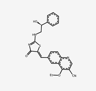 CCOc1c(C#N)cnc2ccc(/C=C3\SC(NC[C@@H](O)c4ccccc4)=NC3=O)cc12